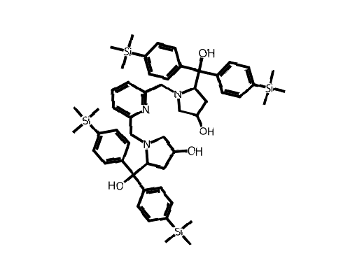 C[Si](C)(C)c1ccc(C(O)(c2ccc([Si](C)(C)C)cc2)C2CC(O)CN2Cc2cccc(CN3CC(O)CC3C(O)(c3ccc([Si](C)(C)C)cc3)c3ccc([Si](C)(C)C)cc3)n2)cc1